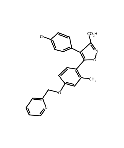 Cc1cc(OCc2ccccn2)ccc1-c1onc(C(=O)O)c1-c1ccc(Cl)cc1